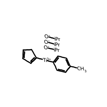 CC(C)[O-].CC(C)[O-].CC(C)[O-].Cc1cc[c]([Ti+3][C]2=CC=CC2)cc1